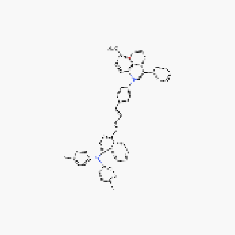 COc1c#cc(N(/C=C(\C2=CC=CCC2)c2ccccc2)c2ccc(/C=C/C=C/c3ccc(N(c4ccc(C)cc4)c4ccc(C)cc4)c4ccccc34)cc2)cc1